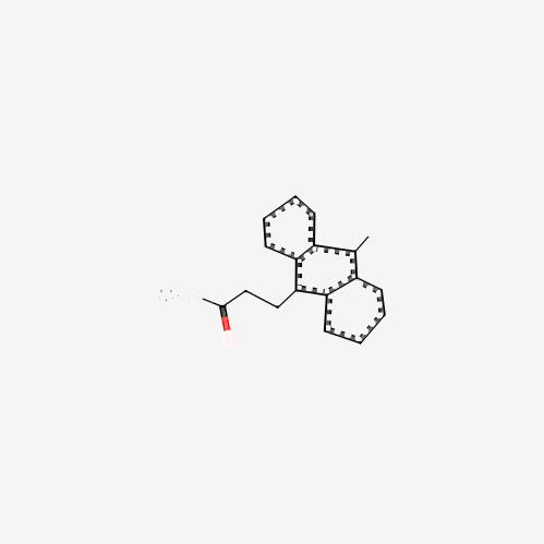 COC(=O)CCc1c2ccccc2c(C)c2ccccc12